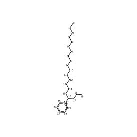 CCCCCCCCCCCCCCCCC(CCC)[n+]1ccccc1